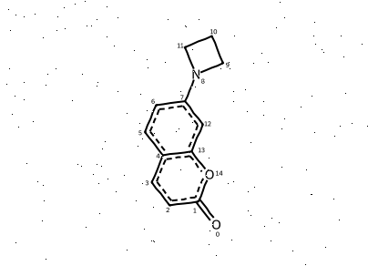 O=c1ccc2ccc(N3CCC3)cc2o1